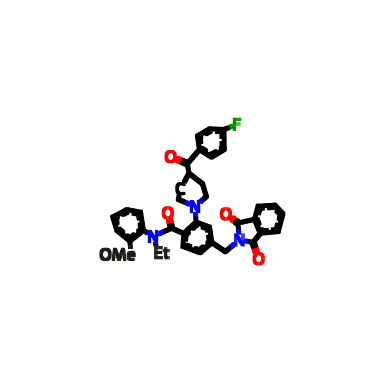 CCN(C(=O)c1ccc(CN2C(=O)c3ccccc3C2=O)cc1N1CCC(C(=O)c2ccc(F)cc2)CC1)c1ccccc1OC